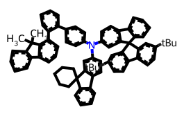 CC(C)(C)c1ccc2c(c1)C1(c3ccccc3-c3ccc(N(c4ccc(-c5ccccc5-c5cccc6c5C(C)(C)c5ccccc5-6)cc4)c4ccc5c(c4)C4(CCCCC4)c4ccccc4-5)cc31)c1cc(C(C)(C)C)ccc1-2